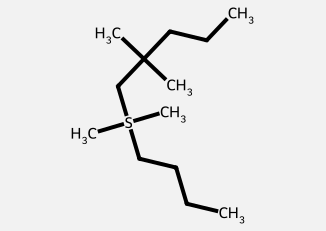 CCCCS(C)(C)CC(C)(C)CCC